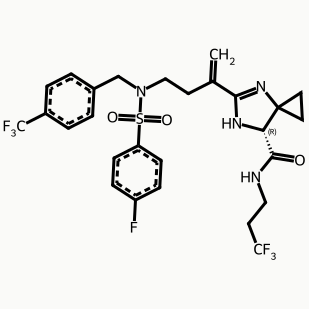 C=C(CCN(Cc1ccc(C(F)(F)F)cc1)S(=O)(=O)c1ccc(F)cc1)C1=NC2(CC2)[C@H](C(=O)NCCC(F)(F)F)N1